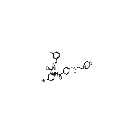 Cc1cccc(C=NNC(=O)c2cc(Br)ccc2NC(=O)c2ccc(CNCCN3CCOCC3)cc2)c1